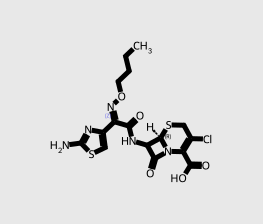 CCCCO/N=C(\C(=O)NC1C(=O)N2C(C(=O)O)=C(Cl)CS[C@H]12)c1csc(N)n1